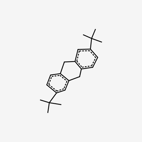 CC(C)(C)c1ccc2c(c1)Cc1ccc(C(C)(C)C)cc1C2